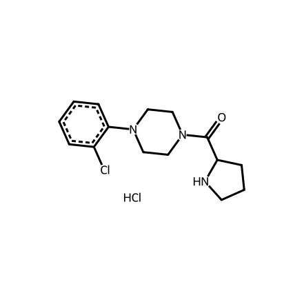 Cl.O=C(C1CCCN1)N1CCN(c2ccccc2Cl)CC1